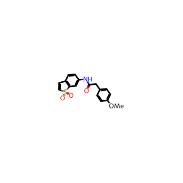 COc1ccc(CC(=O)Nc2ccc3c(c2)S(=O)(=O)C=C3)cc1